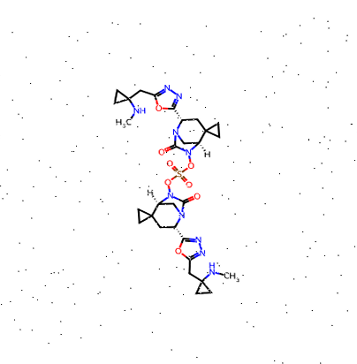 CNC1(Cc2nnc([C@@H]3CC4(CC4)[C@@H]4CN3C(=O)N4OS(=O)(=O)ON3C(=O)N4C[C@H]3C3(CC3)C[C@H]4c3nnc(CC4(NC)CC4)o3)o2)CC1